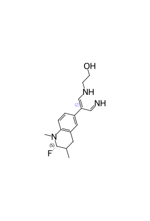 CC1Cc2cc(/C(C=N)=C/NCCO)ccc2N(C)[C@H]1F